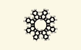 c1ccc2cc3c(cc2c1)-c1cc2ccccc2cc1-c1cc2ccccc2cc1-c1cc2ccccc2cc1-c1cc2ccccc2cc1-c1cc2ccccc2cc1-c1cc2ccccc2cc1-c1cc2ccccc2cc1-3